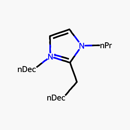 CCCCCCCCCCCc1n(CCC)cc[n+]1CCCCCCCCCC